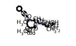 CC[C@H](O)C(N)OC(C)C[C@@](C)(O)/C=C/C=C(\C)[C@H]1OC(=O)CC(O[Si](C)(C)C(C)(C)C)CCC(C)[C@@H](OC(=O)N2CCN(C3CCCCCC3)CC2)/C=C/C1C